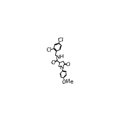 COc1ccc(N2CC(C(=O)NCc3ccc(Cl)cc3Cl)CC2=O)cc1